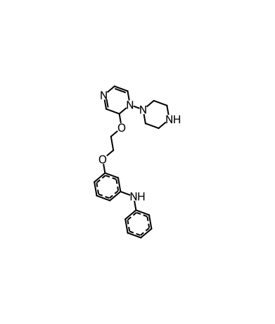 C1=CN(N2CCNCC2)C(OCCOc2cccc(Nc3ccccc3)c2)C=N1